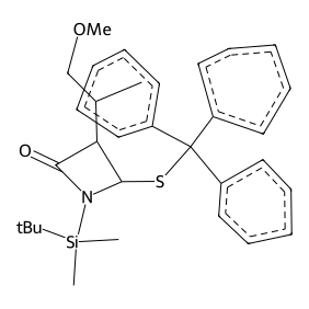 COCC(C)C1C(=O)N([Si](C)(C)C(C)(C)C)C1SC(c1ccccc1)(c1ccccc1)c1ccccc1